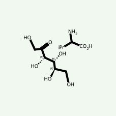 CC(C)C(N)C(=O)O.O=C(CO)[C@@H](O)[C@H](O)[C@H](O)CO